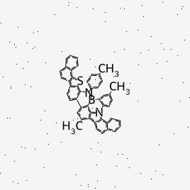 Cc1ccc(N2B3c4cc(C)ccc4-n4c5c3c(cc(C)c5c3ccc5ccccc5c34)-c3ccc4c(sc5c6ccccc6ccc45)c32)cc1